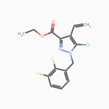 C=Cc1c(C(=O)OCC)nn(Cc2cccc(F)c2F)c1Cl